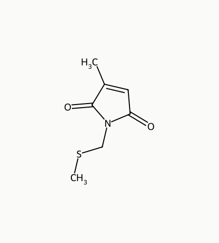 CSCN1C(=O)C=C(C)C1=O